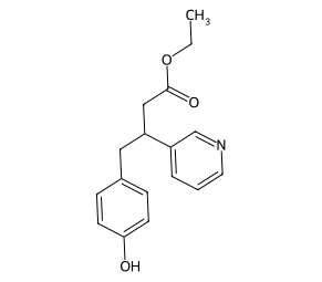 CCOC(=O)CC(Cc1ccc(O)cc1)c1cccnc1